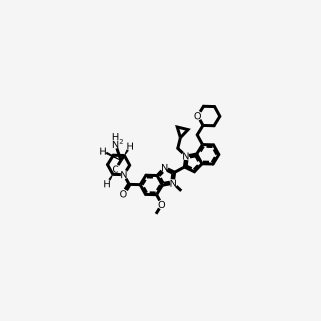 COc1cc(C(=O)N2C[C@H]3CC[C@@H]2C[C@@H]3N)cc2nc(-c3cc4cccc(CC5CCCCO5)c4n3CC3CC3)n(C)c12